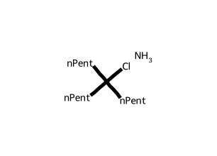 CCCCCC(Cl)(CCCCC)CCCCC.N